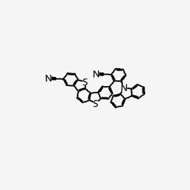 N#Cc1ccc2sc3c(ccc4sc5ccc(-c6c(C#N)cccc6-n6c7ccccc7c7ccccc76)cc5c43)c2c1